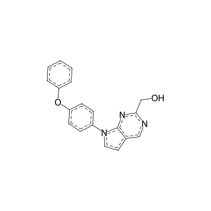 OCc1ncc2ccn(-c3ccc(Oc4ccccc4)cc3)c2n1